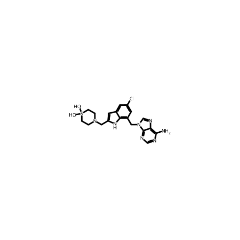 Nc1ncnc2c1ncn2Cc1cc(Cl)cc2cc(CN3CCS(O)(O)CC3)[nH]c12